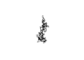 COCc1cc(C(=O)Nc2cc(C3C[CH]CO3)n(C(C)(C)C)n2)n(C)n1